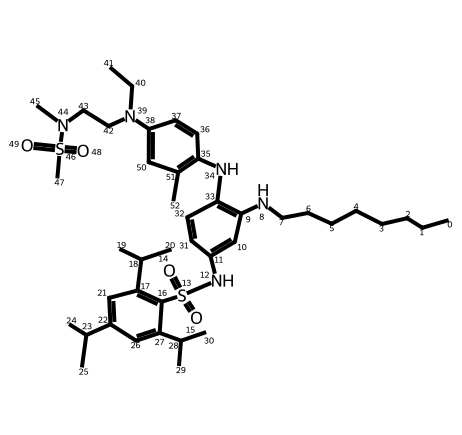 CCCCCCCCNc1cc(NS(=O)(=O)c2c(C(C)C)cc(C(C)C)cc2C(C)C)ccc1Nc1ccc(N(CC)CCN(C)S(C)(=O)=O)cc1C